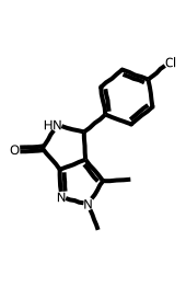 Cc1c2c(nn1C)C(=O)NC2c1ccc(Cl)cc1